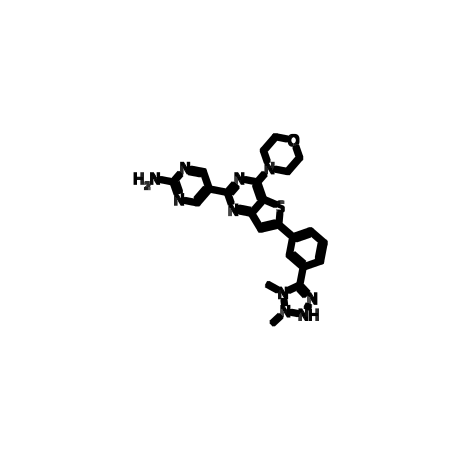 CN1NN=C(c2cccc(-c3cc4nc(-c5cnc(N)nc5)nc(N5CCOCC5)c4s3)c2)N1C